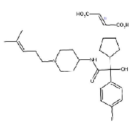 CC(C)=CCCN1CCC(NC(=O)C(O)(c2ccc(F)cc2)C2CCCC2)CC1.O=C(O)/C=C/C(=O)O